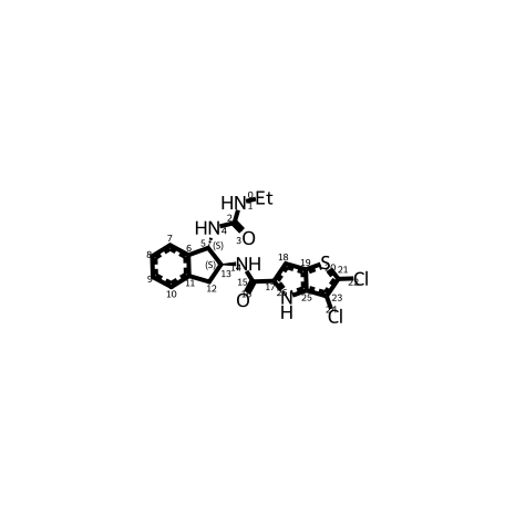 CCNC(=O)N[C@H]1c2ccccc2C[C@@H]1NC(=O)c1cc2sc(Cl)c(Cl)c2[nH]1